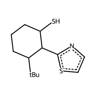 CC(C)(C)C1CCCC(S)C1c1nccs1